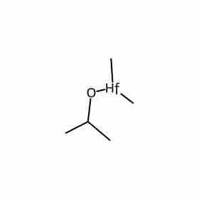 CC(C)[O][Hf]([CH3])[CH3]